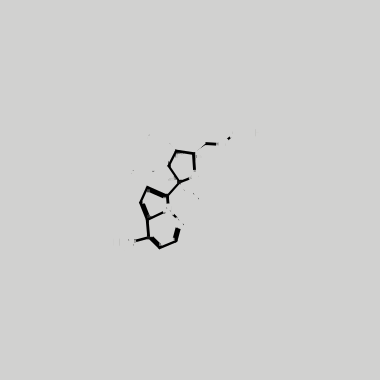 CCOC(=O)OC[C@H]1O[C@@](C#N)(c2ccc3c(N)ccnn23)[C@H](OC(C)=O)[C@@H]1OC(C)=O